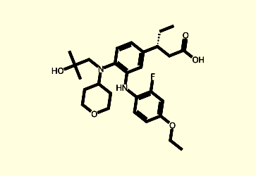 CCOc1ccc(Nc2cc([C@H](CC)CC(=O)O)ccc2N(CC(C)(C)O)C2CCOCC2)c(F)c1